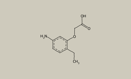 CCc1ccc(N)cc1OCC(=O)O